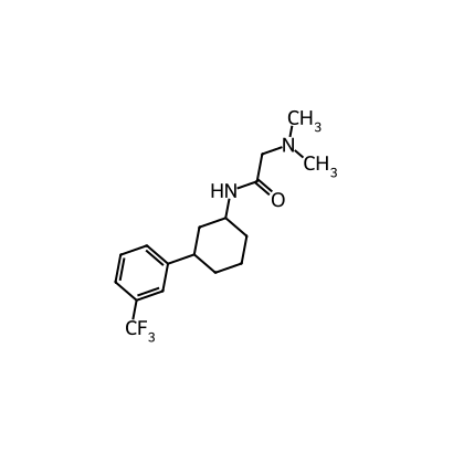 CN(C)CC(=O)NC1CCCC(c2cccc(C(F)(F)F)c2)C1